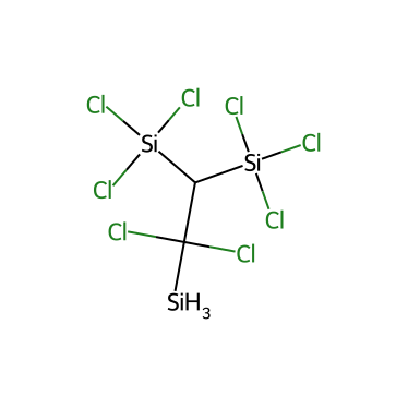 [SiH3]C(Cl)(Cl)C([Si](Cl)(Cl)Cl)[Si](Cl)(Cl)Cl